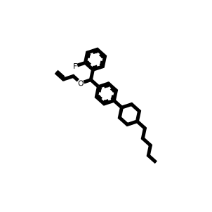 C=CCOC(c1ccc(C2CCC(CCCCC)CC2)cc1)c1ccccc1F